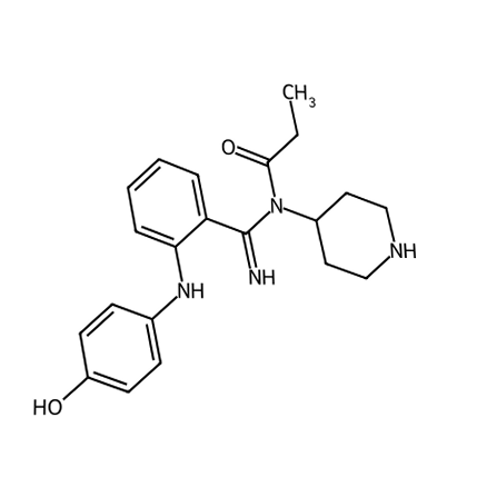 CCC(=O)N(C(=N)c1ccccc1Nc1ccc(O)cc1)C1CCNCC1